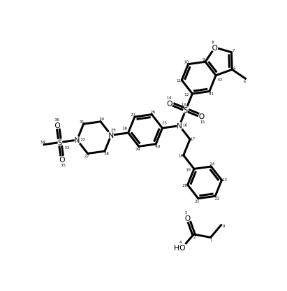 CCC(=O)O.Cc1coc2ccc(S(=O)(=O)N(CCc3ccccc3)c3ccc(N4CCN(S(C)(=O)=O)CC4)cc3)cc12